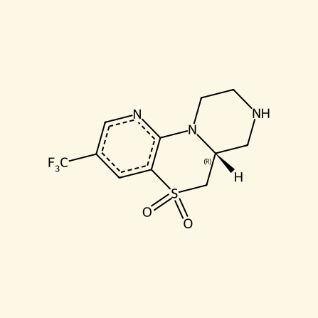 O=S1(=O)C[C@H]2CNCCN2c2ncc(C(F)(F)F)cc21